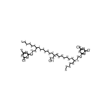 CCCCCCC(CCCCCCCC(CCO)CCCCCCCC(CCCCC)CCOc1nc(Cl)nc(Cl)n1)CCOc1nc(C)nc(Cl)n1